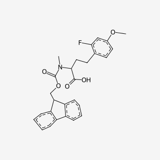 COc1ccc(CCC(C(=O)O)N(C)C(=O)OCC2c3ccccc3-c3ccccc32)c(F)c1